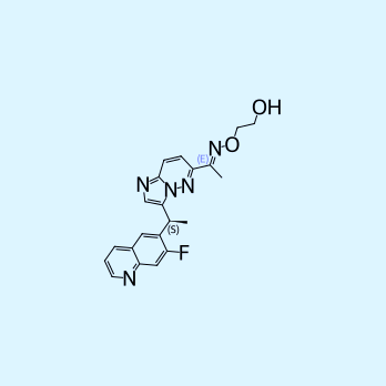 C/C(=N\OCCO)c1ccc2ncc([C@@H](C)c3cc4cccnc4cc3F)n2n1